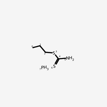 CCCSC(N)=S.P